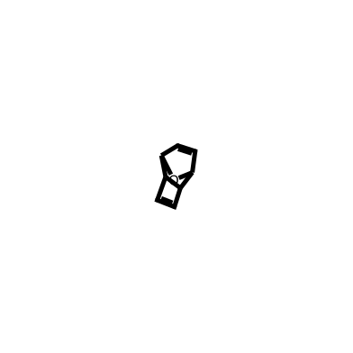 C1=CC2OC1C1C=CC21